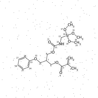 C=C(C)C(=O)OCC(COC(=O)NC[Si](OC)(OC)OC)COc1ccccc1